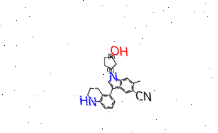 Cc1cc2c(cc1C#N)c(-c1cccc3c1CCCN3)cn2[C@@H]1CC[C@@H](O)C1